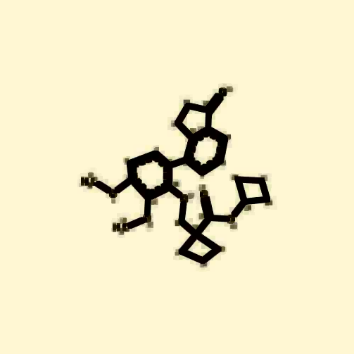 COc1ccc(-c2cccc3c2CCC3=O)c(OCC2(C(=O)OC3CCC3)CCC2)c1OC